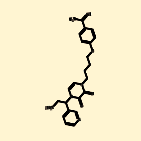 N=C(N)c1ccc(OCCCCn2ccn(C(CC(=O)O)c3cccnc3)c(=O)c2=O)cc1